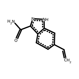 C=Cc1ccc2c(C(N)=O)n[nH]c2c1